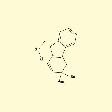 CC(C)(C)C1(C(C)(C)C)C=CC2=C(C1)c1ccccc1[CH]2.[Cl][Zr][Cl]